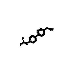 CC(C)Cc1ccc(-c2ccc(OC(F)F)cc2)nc1